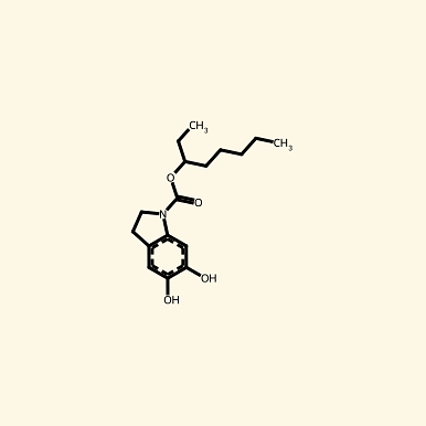 CCCCCC(CC)OC(=O)N1CCc2cc(O)c(O)cc21